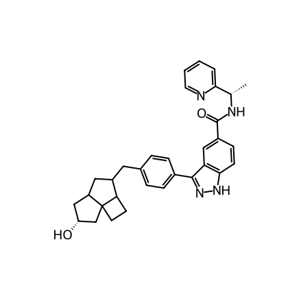 C[C@H](NC(=O)c1ccc2[nH]nc(-c3ccc(CC4CC5C[C@@H](O)CC56CCC46)cc3)c2c1)c1ccccn1